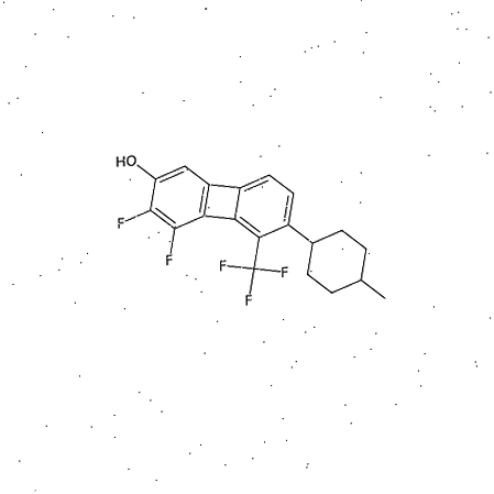 CC1CCC(c2ccc3c(c2C(F)(F)F)-c2c-3cc(O)c(F)c2F)CC1